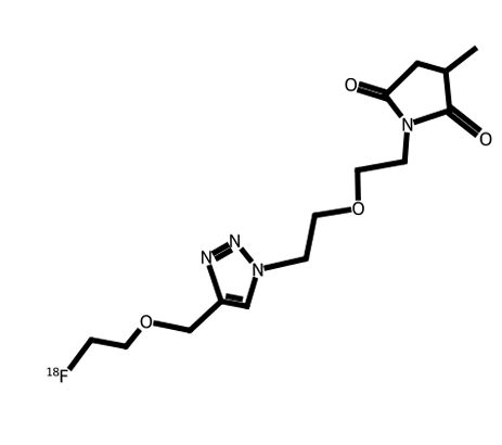 CC1CC(=O)N(CCOCCn2cc(COCC[18F])nn2)C1=O